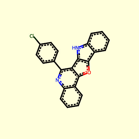 Clc1ccc(-c2nc3ccccc3c3oc4c5ccccc5[nH]c4c23)cc1